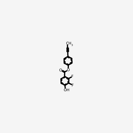 CC#Cc1ccc(OC(=O)c2ccc(O)c(F)c2F)cc1